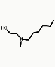 CCCCCCN(C)CCO